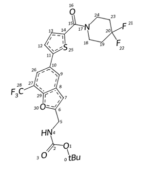 CC(C)(C)OC(=O)NCc1cc2cc(-c3ccc(C(=O)N4CCC(F)(F)CC4)s3)cc(C(F)(F)F)c2o1